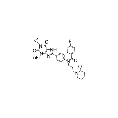 CCCn1c(=O)n(C2CC2)c(=O)c2[nH]c(-c3ccc(N(CCCN4CCCCC4=O)C(=O)c4ccc(F)cc4)nc3)nc21